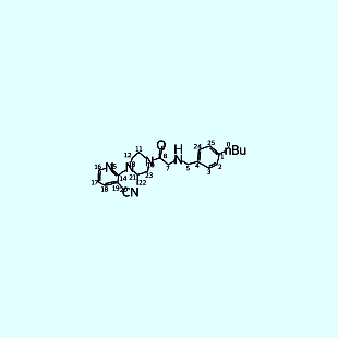 CCCCc1ccc(CNCC(=O)N2CCN(c3ncccc3C#N)C(C)C2)cc1